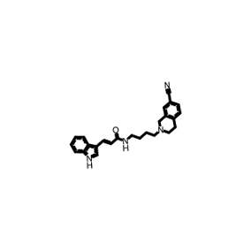 N#Cc1ccc2c(c1)CN(CCCCNC(=O)C=Cc1c[nH]c3ccccc13)CC2